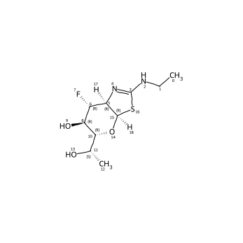 CCNC1=N[C@@H]2[C@@H](F)[C@H](O)[C@@H]([C@H](C)O)O[C@@H]2S1